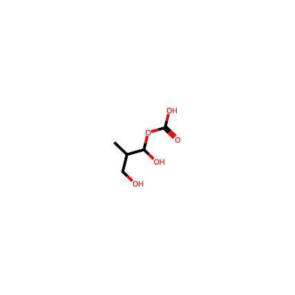 CC(CO)C(O)OC(=O)O